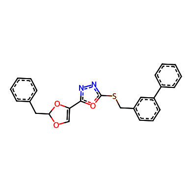 C1=C(c2nnc(SCc3cccc(-c4ccccc4)c3)o2)OC(Cc2ccccc2)O1